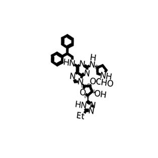 CCc1nnc([C@H]2O[C@@H](n3cnc4c(NCC(c5ccccc5)c5ccccc5)nc(N[C@@H]5CCNC5)nc43)[C@H](OC=O)[C@@H]2O)[nH]1